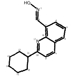 ON=Cc1cccc2ccc(C3CCCCC3)nc12